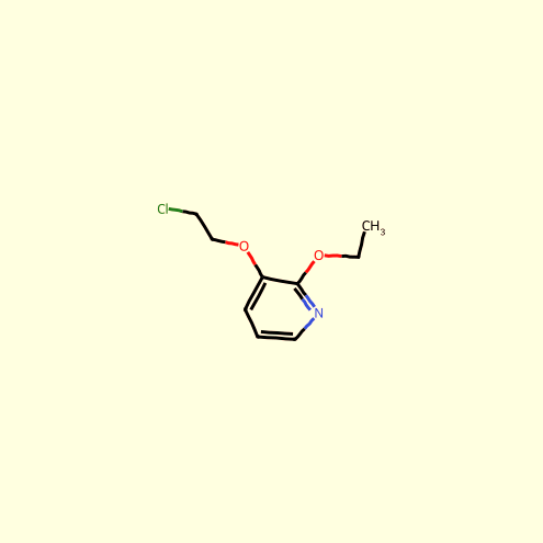 CCOc1ncccc1OCCCl